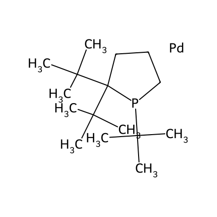 CC(C)(C)P1CCCC1(C(C)(C)C)C(C)(C)C.[Pd]